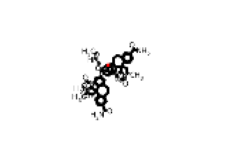 CONCON(c1ccc2c(c1)CCc1cc(C(N)=O)ccc1C2(C[C@@H](C)N)c1nc(=O)on1C)c1ccc2c(c1)CCc1cc(C(N)=O)ccc1C2(C[C@@H](C)N)c1nc(=O)on1C1CCCCC1